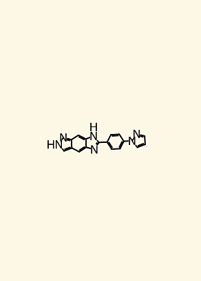 c1cnn(-c2ccc(-c3nc4cc5c[nH]nc5cc4[nH]3)cc2)c1